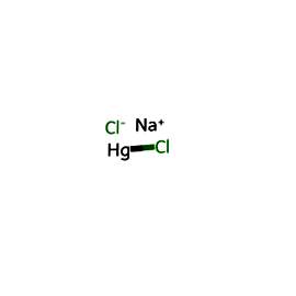 [Cl-].[Cl][Hg].[Na+]